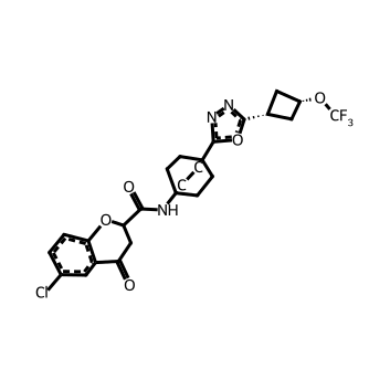 O=C1CC(C(=O)NC23CCC(c4nnc([C@H]5C[C@@H](OC(F)(F)F)C5)o4)(CC2)CC3)Oc2ccc(Cl)cc21